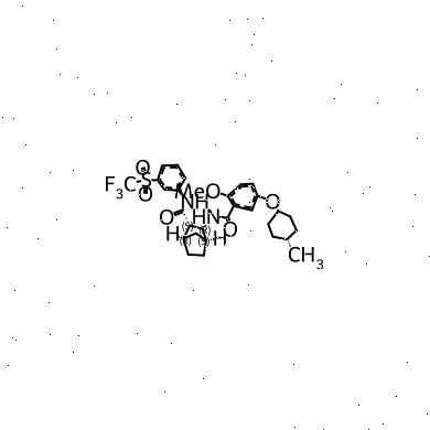 COc1ccc(O[C@H]2CC[C@@H](C)CC2)cc1C(=O)N[C@@H]1[C@H]2CC[C@H](C2)[C@@H]1C(=O)Nc1cccc(S(=O)(=O)C(F)(F)F)c1